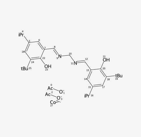 CC(=O)[O-].CC(=O)[O-].CC(C)c1cc(C=NCN=Cc2cc(C(C)C)cc(C(C)(C)C)c2O)c(O)c(C(C)(C)C)c1.[Co+2]